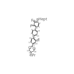 CCCCCCCc1ccc(-c2ccc(-c3ccc(C4OCC(CCC)CO4)cc3F)cc2)c(F)c1F